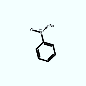 CCCC[S@+]([O-])c1ccccc1